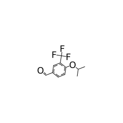 CC(C)Oc1ccc(C=O)cc1C(F)(F)F